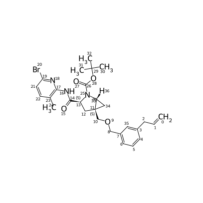 C=CCc1cccc(COC[C@@]23C[C@@H](C(=O)Nc4nc(Br)ccc4C)N(C(=O)OC(C)(C)C)[C@@H]2C3)c1